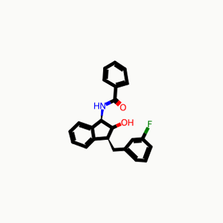 O=C(N[C@@H]1c2ccccc2[C@H](Cc2cccc(F)c2)C1O)c1ccccc1